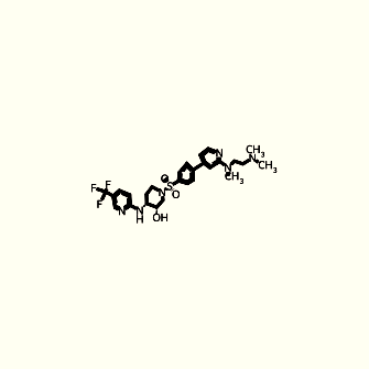 CN(C)CCN(C)c1cc(-c2ccc(S(=O)(=O)N3CC[C@@H](Nc4ccc(C(F)(F)F)cn4)[C@@H](O)C3)cc2)ccn1